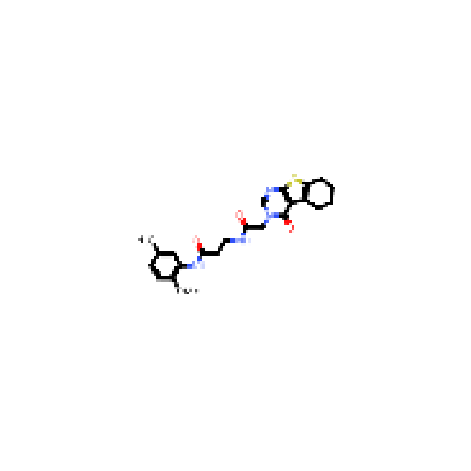 COc1ccc(C)cc1NC(=O)CCNC(=O)Cn1cnc2sc3c(c2c1=O)CCCC3